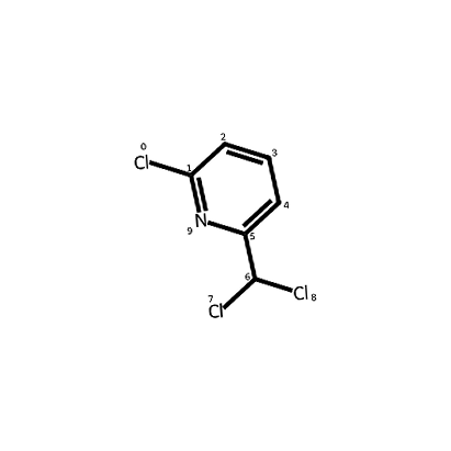 Clc1cccc(C(Cl)Cl)n1